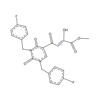 COC(=O)/C(O)=C/C(=O)c1cn(Cc2ccc(F)cc2)c(=O)n(Cc2ccc(F)cc2)c1=O